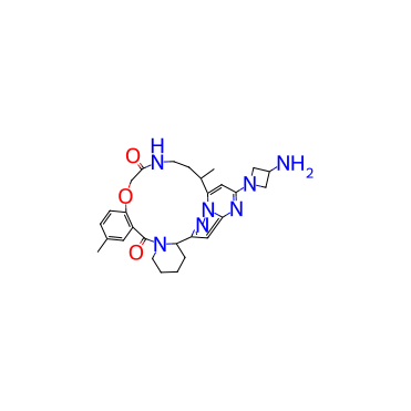 Cc1ccc2c(c1)C(=O)N1CCCCC1c1cc3nc(N4CC(N)C4)cc(n3n1)C(C)CCNC(=O)CO2